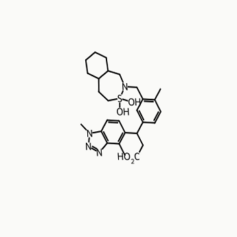 Cc1ccc(C(CC(=O)O)c2ccc3c(nnn3C)c2C)cc1CN1CC2CCCCC2CCS1(O)O